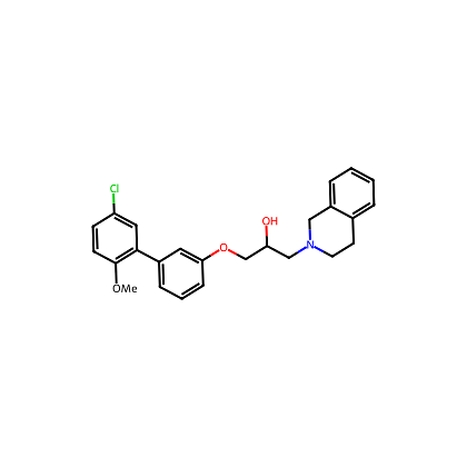 COc1ccc(Cl)cc1-c1cccc(OCC(O)CN2CCc3ccccc3C2)c1